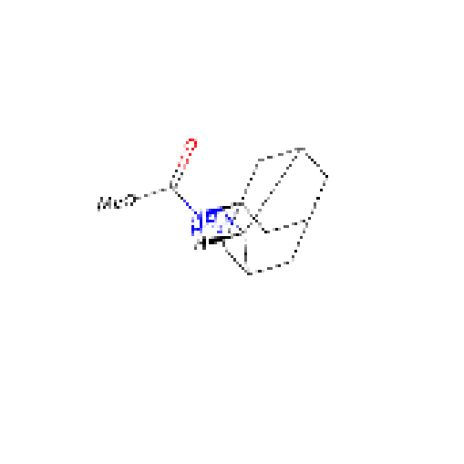 COC(=O)N[C@]12CC3CC(C1)[C@@H](N)C(C3)C2